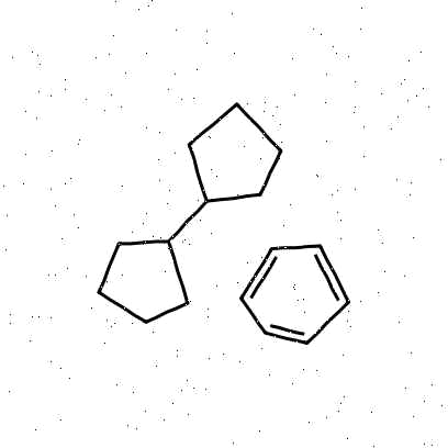 C1CCC(C2CCCC2)C1.c1ccccc1